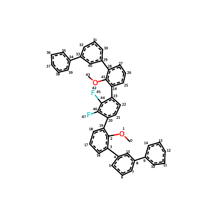 COc1c(-c2cccc(-c3ccccc3)c2)cccc1-c1ccc(-c2cccc(-c3cccc(-c4ccccc4)c3)c2OC)c(F)c1F